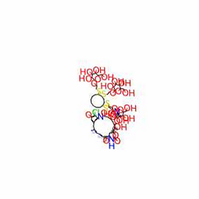 COc1cc2cc(c1Cl)N(C)C(=O)CC(OC(=O)[C@H](C)N(C)C(=O)CCSC1CC(SCCOC3OC(CO)C(O)C(O)C3O)C(SCCOC3OC(CO)C(O)C(O)C3O)CCCCCCCC1SCCOC1OC(CO)C(O)C(O)C1O)CC(C)(O)[C@@H](C)[C@@]1(C)CC(NC(=O)O1)[C@@H](OC)/C=C/C=C(/C)C2